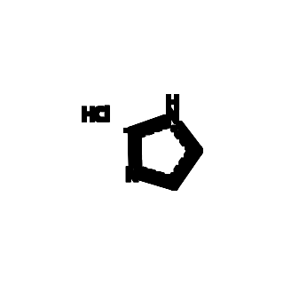 Cl.[c]1ncc[nH]1